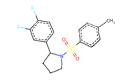 Cc1ccc(S(=O)(=O)N2CCCC2c2ccc(F)c(F)c2)cc1